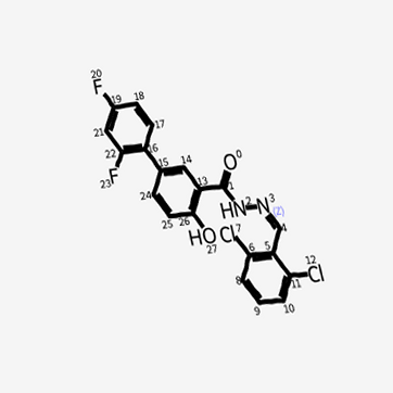 O=C(N/N=C\c1c(Cl)cccc1Cl)c1cc(-c2ccc(F)cc2F)ccc1O